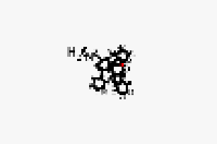 C=NCc1cc(-c2ccccc2-n2c3ccccc3c3ccccc32)cc2c1sc1ccccc12